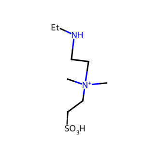 CCNCC[N+](C)(C)CCS(=O)(=O)O